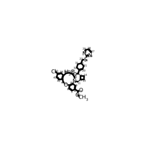 COC(=O)c1ccc2c(c1)N(C[C@@H]1CC[C@H]1C(OC)C1=CCC(CSc3ncccn3)CC1)CCCCc1cc(Cl)ccc1CO2